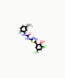 O=C(Nc1nnc(-c2cc(Cl)cc(Cl)c2O)s1)Nc1cc([N+](=O)[O-])ccc1F